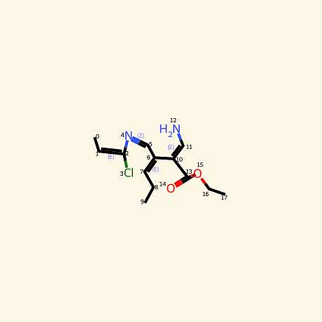 C\C=C(Cl)/N=C\C(=C\CC)C(=C/N)\C(=O)OCC